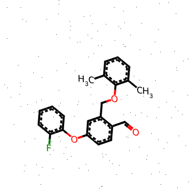 Cc1cccc(C)c1OCc1cc(Oc2ccccc2F)ccc1C=O